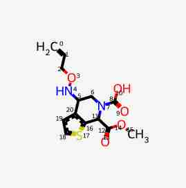 C=CCONC1CN(C(=O)O)C(C(=O)OC)c2sccc21